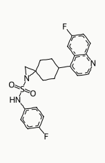 O=S(=O)(Nc1ccc(F)cc1)N1CC12CCC(c1ccnc3ccc(F)cc13)CC2